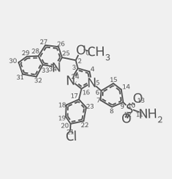 COC(c1cn(-c2ccc(S(N)(=O)=O)cc2)c(-c2ccc(Cl)cc2)n1)c1ccc2ccccc2n1